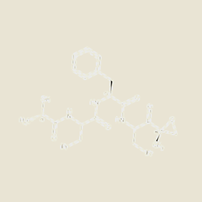 CC(C)CC(NC(=O)[C@H](C)O)C(=O)N[C@@H](Cc1ccccc1)C(=O)NC(CC(C)C)C(=O)[C@@]1(C)CO1